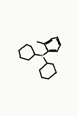 Cc1ccccc1P(C1CCCCC1)C1CCCCC1